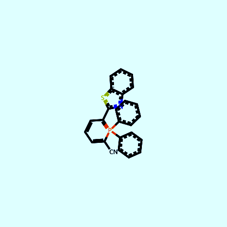 N#CC1=CC=CC(c2nc3ccccc3s2)=P1(c1ccccc1)c1ccccc1